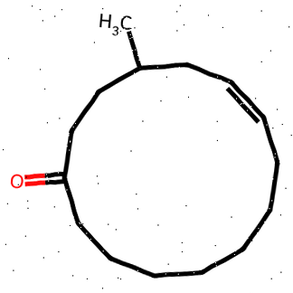 CC1CC=CCCCCCCCC(=O)CC1